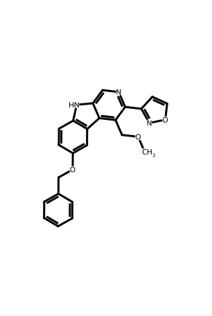 COCc1c(-c2ccon2)ncc2[nH]c3ccc(OCc4ccccc4)cc3c12